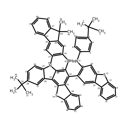 CC(C)(C)c1ccc(Nc2cc3sc4ccccc4c3cc2-c2c3c4c(c5cc(C(C)(C)C)ccc5n4-c4cc5c(cc4B3)C(C)(C)c3ccccc3-5)c3sc4ccccc4c23)cc1